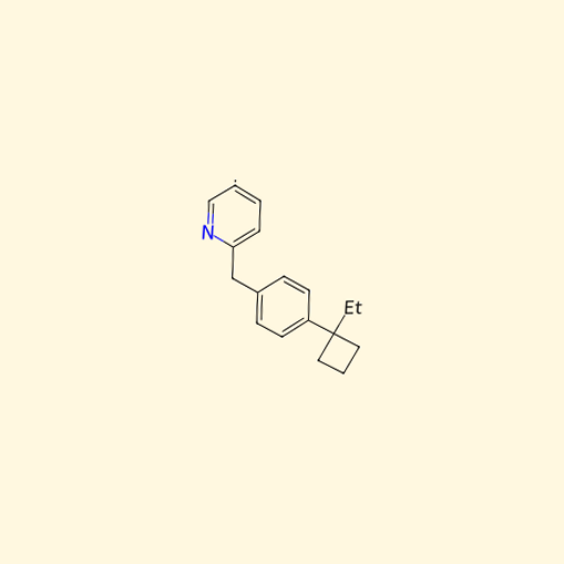 CCC1(c2ccc(Cc3cc[c]cn3)cc2)CCC1